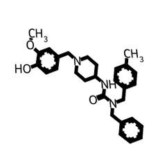 COc1cc(CN2CCC(NC(=O)N(Cc3ccccc3)Cc3ccc(C)cc3)CC2)ccc1O